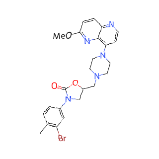 COc1ccc2nccc(N3CCN(CC4CN(c5ccc(C)c(Br)c5)C(=O)O4)CC3)c2n1